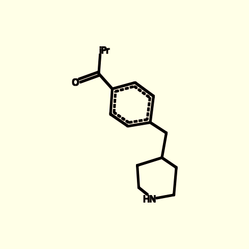 CC(C)C(=O)c1ccc(CC2CCNCC2)cc1